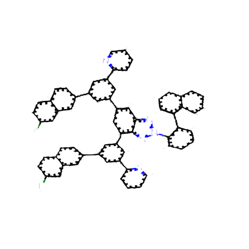 Fc1ccc2ccc(-c3cc(-c4cc(-c5cc(-c6ccc7ccc(F)cc7c6)cc(-c6ccccn6)c5)c5nn(-c6ccccc6-c6cccc7ccccc67)nc5c4)cc(-c4ccccn4)c3)cc2c1